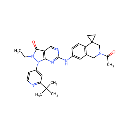 CCn1c(=O)c2cnc(Nc3ccc4c(c3)CN(C(C)=O)CC43CC3)nc2n1-c1ccnc(C(C)(C)C)c1